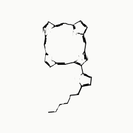 CCCCCCc1ccc(-c2cc3cc4nc(cc5ccc(cc6nc(cc2[nH]3)C=C6)[nH]5)C=C4)o1